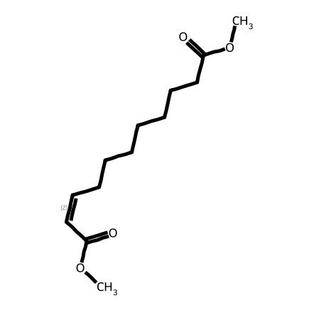 COC(=O)/C=C\CCCCCCCC(=O)OC